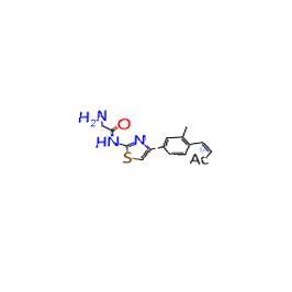 CC(=O)/C=C\c1ccc(-c2csc(NC(=O)CN)n2)cc1C